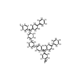 Cc1ccc(N(C2=CC=C(c3cccc(-c4ccc(N(c5ccc(F)cc5)c5ccc(-c6ccccc6)cc5)cc4)c3)CC2)c2ccc(-c3ccccc3)cc2)cc1